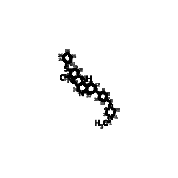 CCN1CCN(Cc2ccc(-c3ccc4c(Nc5ccc(Sc6ccccc6)c(Cl)c5)c(C#N)cnc4c3)cc2)CC1